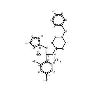 C[C@@H](N1CCN(Cc2ccncc2)CC1)[C@](O)(Cn1cncn1)c1ccc(F)cc1F